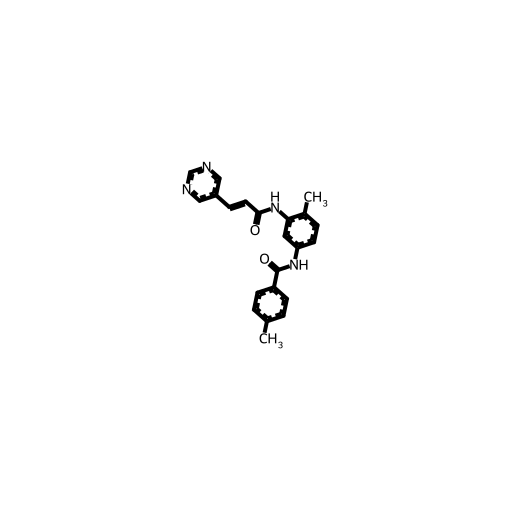 Cc1ccc(C(=O)Nc2ccc(C)c(NC(=O)C=Cc3cncnc3)c2)cc1